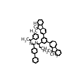 C=C/C(=N\C(=N/C(=C)c1ccccc1)c1ccc(-c2ccccc2)cc1)c1cc(C2=CCC=C3C(=C2)C(C)(C)c2ccccc23)cc(C2=CC3C(C=C2)c2ccccc2C3(C)C)c1